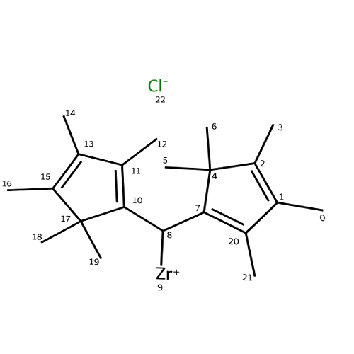 CC1=C(C)C(C)(C)C([CH]([Zr+])C2=C(C)C(C)=C(C)C2(C)C)=C1C.[Cl-]